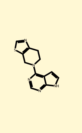 c1nc(N2CCc3ncsc3C2)c2cc[nH]c2n1